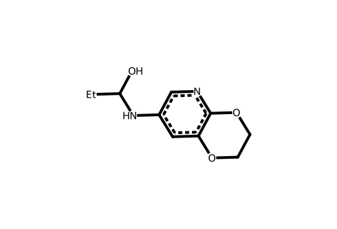 CCC(O)Nc1cnc2c(c1)OCCO2